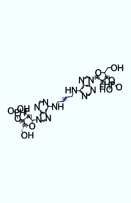 O=[PH](O)O[C@@H]1[C@@H](CO)OC(n2cnc3c(NC/C=C/CNc4ncnc5c4ncn5[C@@H]4OC(CO)[C@@H](O[PH](=O)O)[C@H]4F)ncnc32)[C@@H]1F